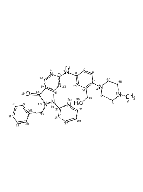 CN1CCN(c2ccc(Nc3ncc4c(=O)n(Cc5ccccc5)n(-c5ccccn5)c4n3)cc2CO)CC1